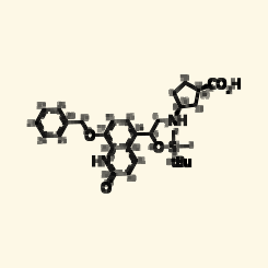 CC(C)(C)[Si](C)(C)OC(CN[C@H]1CC[C@@H](C(=O)O)C1)c1ccc(OCc2ccccc2)c2[nH]c(=O)ccc12